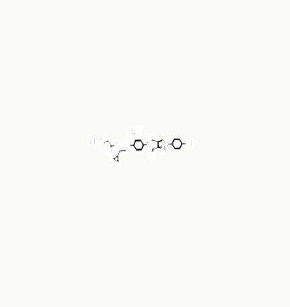 COc1cc(N2Cc3cn(-c4ccc(Cl)cc4)nc3C2=O)ccc1OCC(OC(=O)CN)C1CC1